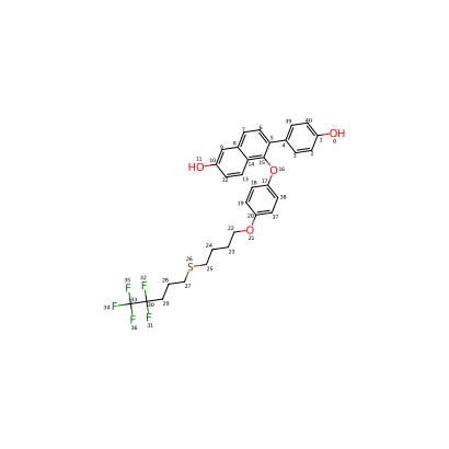 Oc1ccc(-c2ccc3cc(O)ccc3c2Oc2ccc(OCCCCSCCCC(F)(F)C(F)(F)F)cc2)cc1